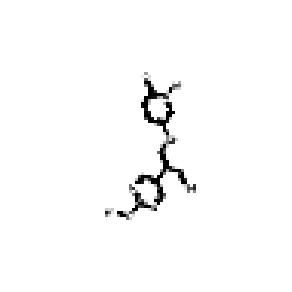 CCCn1cc(N/C=C(\C=N)c2cnc(OC(C)C)nc2)ccc1=O